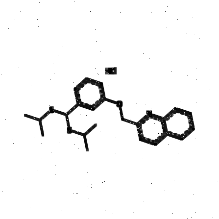 CC(C)SC(SC(C)C)c1cccc(OCc2ccc3ccccc3n2)c1.Cl